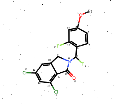 CCOc1ccc(C(F)N2Cc3cc(Cl)cc(Cl)c3C2=O)c(F)c1